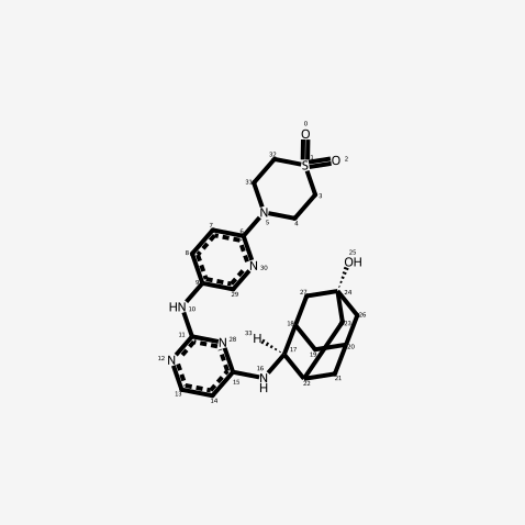 O=S1(=O)CCN(c2ccc(Nc3nccc(N[C@H]4C5CC6CC4C[C@](O)(C6)C5)n3)cn2)CC1